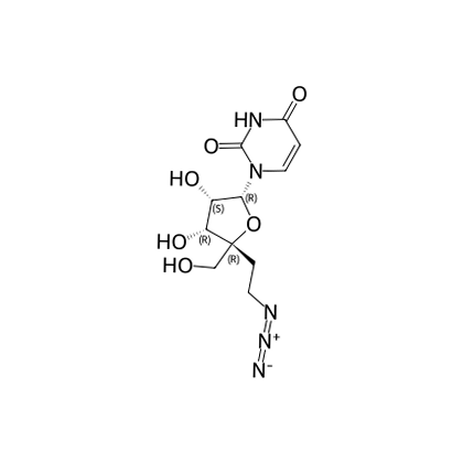 [N-]=[N+]=NCC[C@]1(CO)O[C@@H](n2ccc(=O)[nH]c2=O)[C@@H](O)[C@H]1O